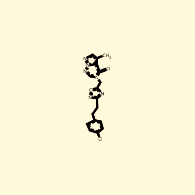 Cc1cnn2ncn(Cc3nc(CCc4ccc(Cl)cc4)no3)c(=O)c12